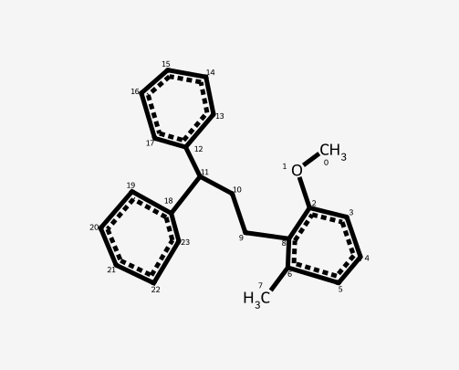 COc1c[c]cc(C)c1CCC(c1ccccc1)c1ccccc1